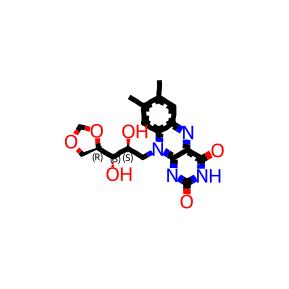 Cc1cc2nc3c(=O)[nH]c(=O)nc-3n(C[C@H](O)[C@H](O)[C@H]3COCO3)c2cc1C